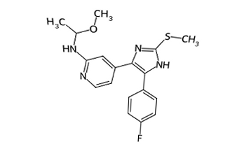 COC(C)Nc1cc(-c2nc(SC)[nH]c2-c2ccc(F)cc2)ccn1